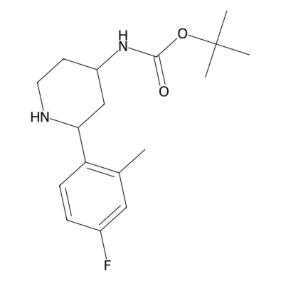 Cc1cc(F)ccc1C1CC(NC(=O)OC(C)(C)C)CCN1